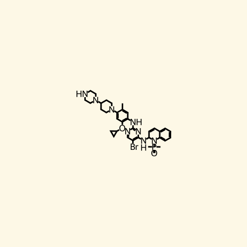 Cc1cc(Nc2ncc(Br)c(NC3C=Cc4ccccc4N3P(C)(C)=O)n2)c(OC2CC2)cc1N1CCC(N2CCNCC2)CC1